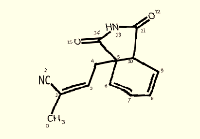 C/C(C#N)=C/CC12C=CC=CC1C(=O)NC2=O